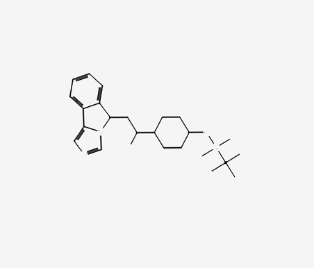 CC(C)(C)[Si](C)(C)OC1CCC(C(O)CC2c3ccccc3-c3cncn32)CC1